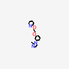 Cc1nccn1-c1cccc(OCCOc2ccccn2)c1